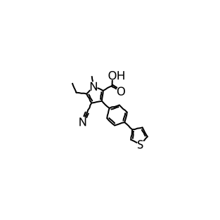 CCc1c(C#N)c(-c2ccc(-c3ccsc3)cc2)c(C(=O)O)n1C